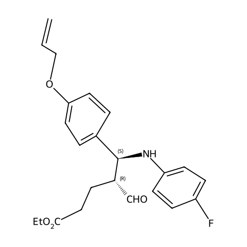 C=CCOc1ccc([C@@H](Nc2ccc(F)cc2)[C@H](C=O)CCC(=O)OCC)cc1